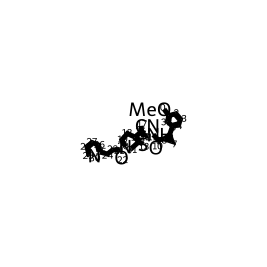 COc1cccc(C2CC2C(=O)Nc2sc3c(c2C#N)CCN(C(=O)CCc2ccccn2)C3)c1